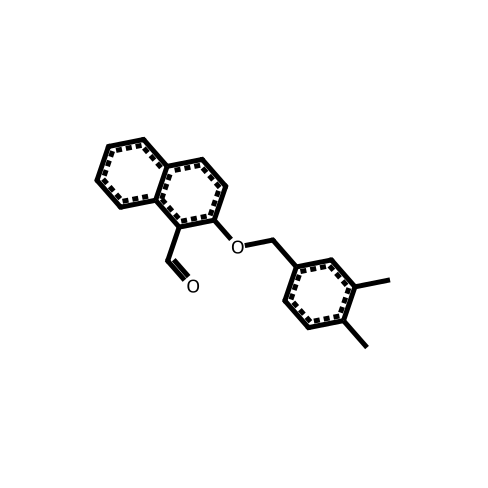 Cc1ccc(COc2ccc3ccccc3c2C=O)cc1C